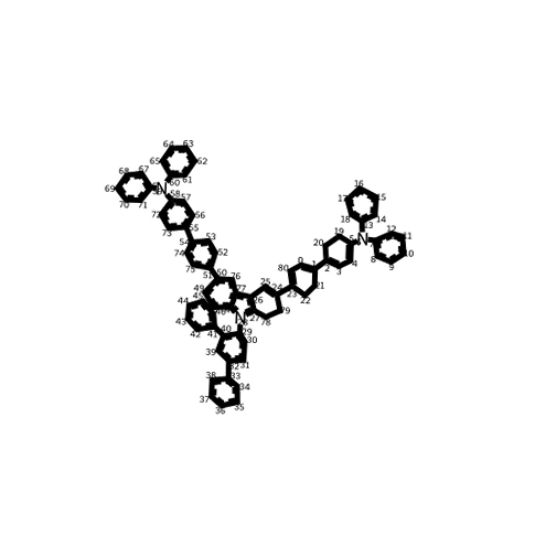 C1=C(C2=CC=C(N(c3ccccc3)c3ccccc3)CC2)CCC(C2=Cc3c(n(-c4ccc(-c5ccccc5)cc4-c4ccccc4)c4ccc(-c5ccc(-c6ccc(N(c7ccccc7)c7ccccc7)cc6)cc5)cc34)CC2)=C1